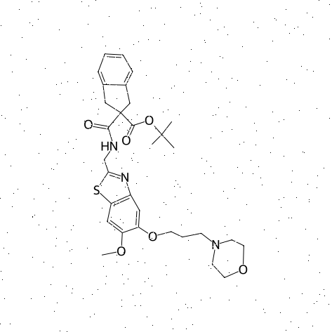 COc1cc2sc(CNC(=O)C3(C(=O)OC(C)(C)C)Cc4ccccc4C3)nc2cc1OCCCN1CCOCC1